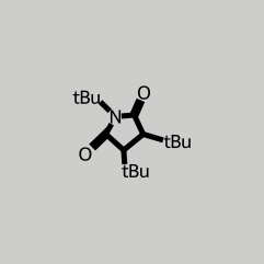 CC(C)(C)C1C(=O)N(C(C)(C)C)C(=O)C1C(C)(C)C